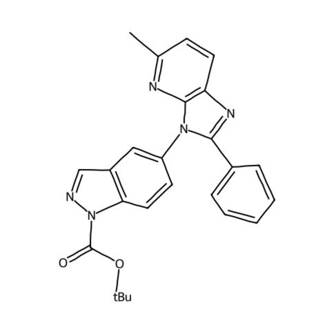 Cc1ccc2nc(-c3ccccc3)n(-c3ccc4c(cnn4C(=O)OC(C)(C)C)c3)c2n1